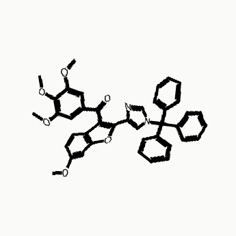 COc1ccc2c(C(=O)c3cc(OC)c(OC)c(OC)c3)c(-c3cn(C(c4ccccc4)(c4ccccc4)c4ccccc4)cn3)oc2c1